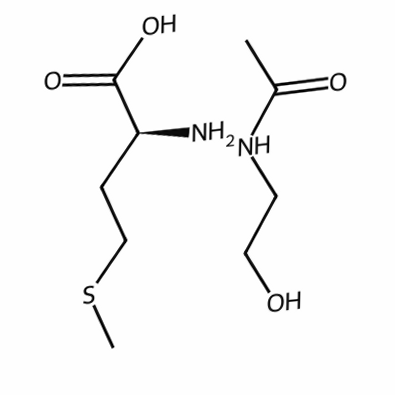 CC(=O)NCCO.CSCC[C@H](N)C(=O)O